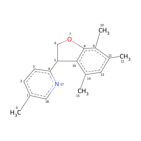 Cc1ccc(C2COc3c(C)c(C)cc(C)c32)nc1